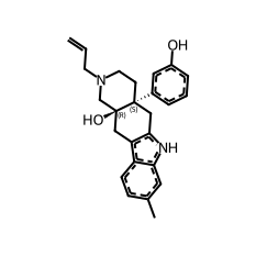 C=CCN1CC[C@@]2(c3cccc(O)c3)Cc3[nH]c4cc(C)ccc4c3C[C@]2(O)C1